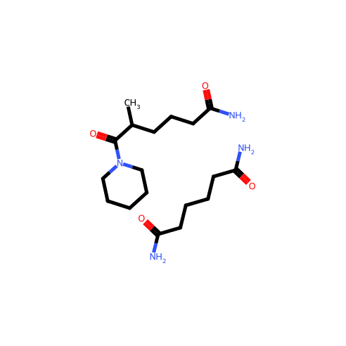 CC(CCCC(N)=O)C(=O)N1CCCCC1.NC(=O)CCCCC(N)=O